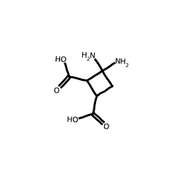 NC1(N)CC(C(=O)O)C1C(=O)O